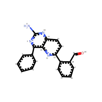 Nc1nc(-c2ccccc2)c2nc(-c3ccccc3C=O)ccc2n1